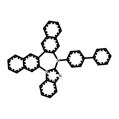 c1ccc(-c2ccc(N3c4cc5ccccc5cc4-c4cc5ccccc5cc4-n4c3nc3ccccc34)cc2)cc1